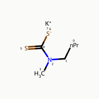 CCCCN(C)C(=S)[S-].[K+]